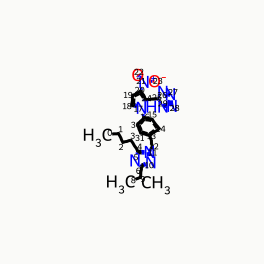 CCCCc1nc(C(C)C)nn1Cc1ccc(-n2ccc([N+](=O)[O-])c2-c2nnn[nH]2)cc1